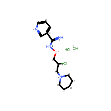 Cl.Cl.N=C(NOCC(Cl)CN1CCCCC1)c1cccnc1